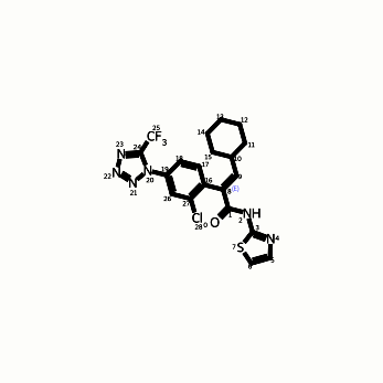 O=C(Nc1nccs1)/C(=C/C1CCCCC1)c1ccc(-n2nnnc2C(F)(F)F)cc1Cl